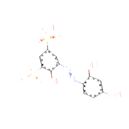 O=S(=O)(O)c1cc(N=Nc2ccc(O)cc2O)c(O)c(S(=O)(=O)O)c1